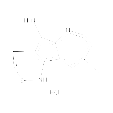 Cl.Nc1c2nccc(F)cc-2c2c1C=CSN2